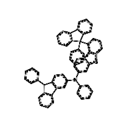 c1ccc(C2c3ccccc3-c3cc(N(c4ccccc4)c4ccc5c(c4)sc4cccc(C6(c7ccccc7)c7ccccc7-c7ccccc76)c45)ccc32)cc1